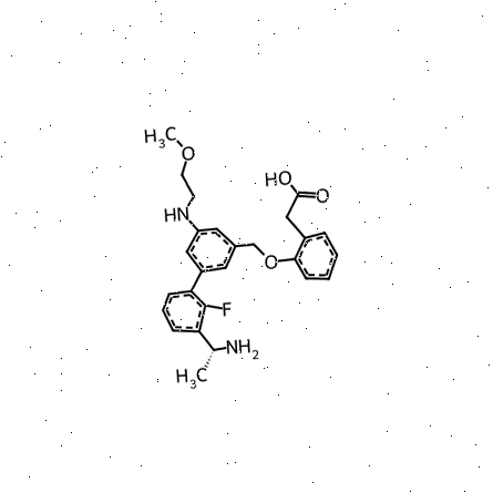 COCCNc1cc(COc2ccccc2CC(=O)O)cc(-c2cccc([C@@H](C)N)c2F)c1